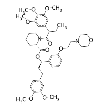 CCC(C(=O)N1CCCC[C@H]1C(=O)O[C@H](CCc1ccc(OC)c(OC)c1)c1cccc(OCCN2CCOCC2)c1)c1cc(OC)c(OC)c(OC)c1